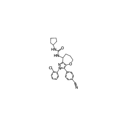 N#Cc1ccc(-c2c3c(nn2-c2ccccc2Cl)C(NC(=O)NC2CCCC2)CCCO3)cc1